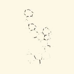 N#CC(=CC1CC1)C(=O)N1CCCC(NC(=O)c2sc3nccc4c3c2NC(=O)N4c2ccc(Oc3ccccc3)cc2)C1